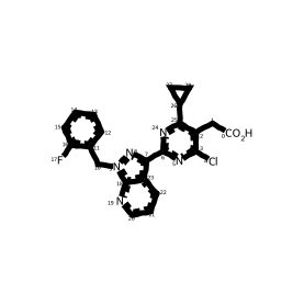 O=C(O)Cc1c(Cl)nc(-c2nn(Cc3ccccc3F)c3ncccc23)nc1C1CC1